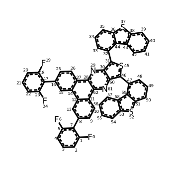 Fc1cccc(F)c1-c1ccc2c(c1)c1cc(-c3c(F)cccc3F)ccc1c1nc3c(-c4cccc5sc6ccccc6c45)sc(-c4cccc5sc6ccccc6c45)c3nc21